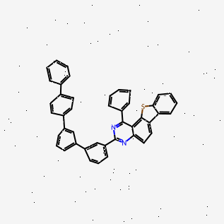 c1ccc(-c2ccc(-c3cccc(-c4cccc(-c5nc(-c6ccccc6)c6c(ccc7c8ccccc8sc76)n5)c4)c3)cc2)cc1